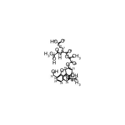 C[C@H](O)C(=O)N[C@@H](CCC(=O)O)C(=O)O[C@@H](C)C(=O)OC1=CC[C@@]2(O)[C@H]3Cc4ccc(CO)c5c4C2(CCN3C)C1O5